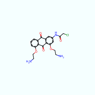 NCCOc1cccc2c1C(=O)c1c(OCCN)cc(NC(=O)CCl)cc1C2=O